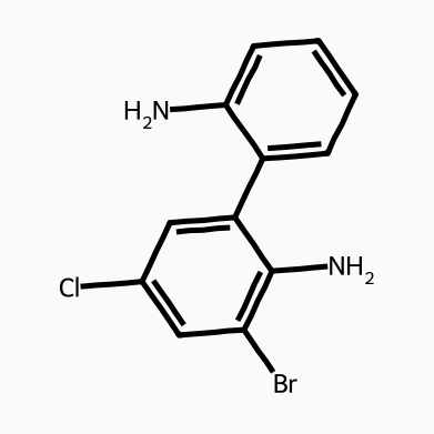 Nc1ccccc1-c1cc(Cl)cc(Br)c1N